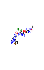 O=C(Nc1ccc(Oc2ccnc(NC(=O)C3CC3)c2)c(F)c1)c1cc(-c2cccs2)n2nccc2n1